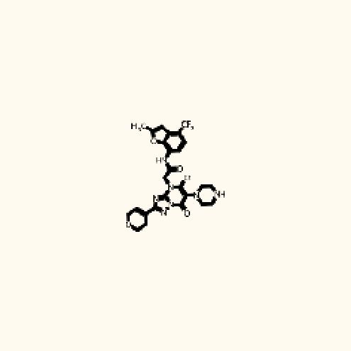 CCc1c(N2CCNCC2)c(=O)n2nc(C3=CCOCC3)nc2n1CC(=O)Nc1ccc(C(F)(F)F)c2cc(C)oc12